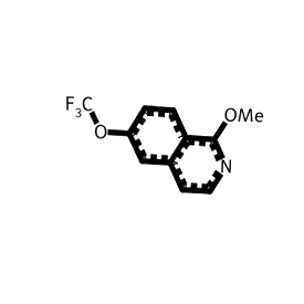 COc1nccc2cc(OC(F)(F)F)ccc12